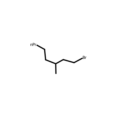 CCCCCC(C)CCBr